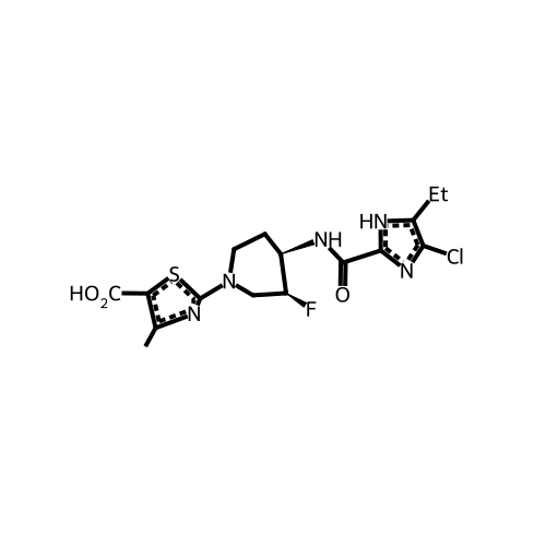 CCc1[nH]c(C(=O)N[C@@H]2CCN(c3nc(C)c(C(=O)O)s3)C[C@@H]2F)nc1Cl